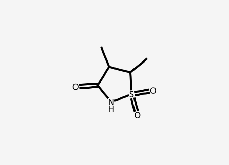 CC1C(=O)NS(=O)(=O)C1C